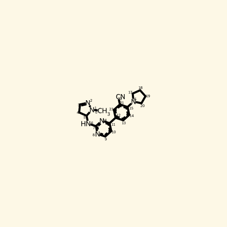 CN1N=CCC1Nc1nccc(-c2ccc(N3CCCC3)c(C#N)c2)n1